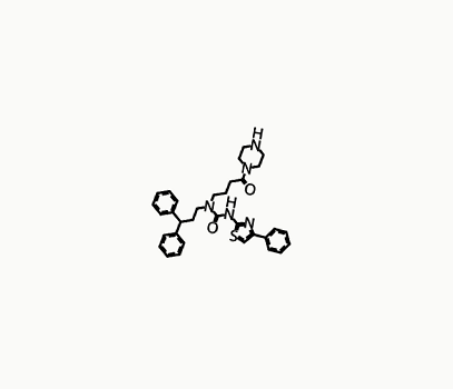 O=C(CCCN(CCC(c1ccccc1)c1ccccc1)C(=O)Nc1nc(-c2ccccc2)cs1)N1CCNCC1